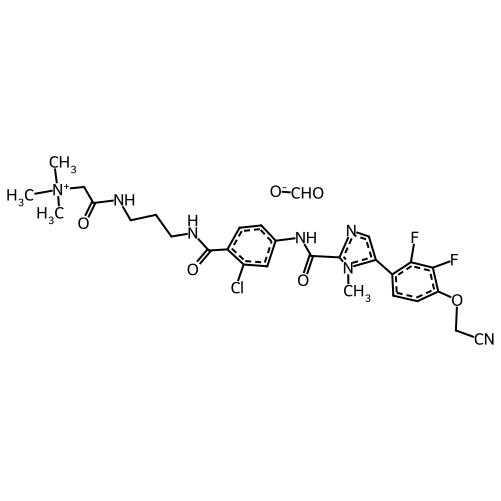 Cn1c(-c2ccc(OCC#N)c(F)c2F)cnc1C(=O)Nc1ccc(C(=O)NCCCNC(=O)C[N+](C)(C)C)c(Cl)c1.O=C[O-]